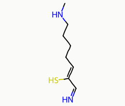 CNCCCC/C=C(\S)C=N